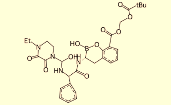 CCN1CCN(C(O)NC(C(=O)N[C@H]2Cc3cccc(C(=O)OCOC(=O)C(C)(C)C)c3OB2O)c2ccccc2)C(=O)C1=O